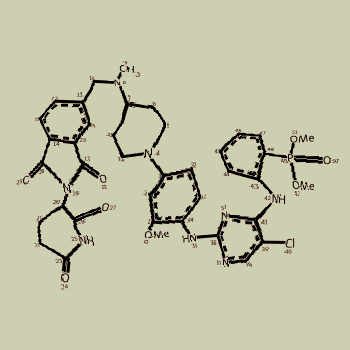 COc1cc(N2CCC(N(C)Cc3ccc4c(c3)C(=O)N(C3CCC(=O)NC3=O)C4=O)CC2)ccc1Nc1ncc(Cl)c(Nc2ccccc2P(=O)(OC)OC)n1